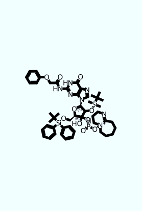 CC(C)(C)[Si](C)(C)OC1[C@H](n2cnc3c(=O)[nH]c(NC(=O)COc4ccccc4)nc32)O[C@H](CO[Si](c2ccccc2)(c2ccccc2)C(C)(C)C)C1(O)O[PH](=O)O[N+]12CCCCCC1=NCCC2